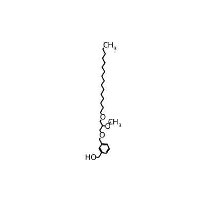 CCCCCCCCCCCCCCCCOCC(COCc1cccc(CO)c1)OC